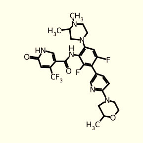 CC1CN(c2ccc(-c3c(F)cc(N4CCN(C)C(C)C4)c(NC(=O)c4c[nH]c(=O)cc4C(F)(F)F)c3F)cn2)CCO1